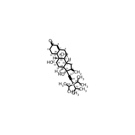 C=C1C[C@H]2C3CCC4=CC(=O)CC[C@]4(C)[C@H]3[C@@H](O)C[C@]2(C)[C@]1(O)C#C[Si](C(C)C)(C(C)C)C(C)C